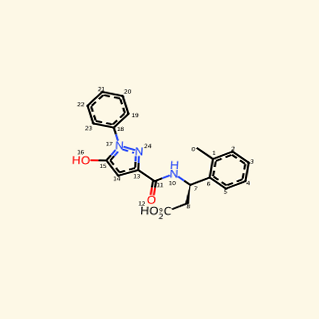 Cc1ccccc1[C@@H](CC(=O)O)NC(=O)c1cc(O)n(-c2ccccc2)n1